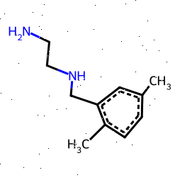 Cc1ccc(C)c(CNCCN)c1